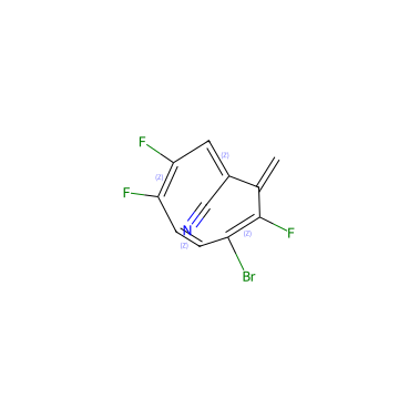 C=C1/C(C#N)=C/C(F)=C(F)\C=C/C(Br)=C\1F